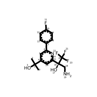 CC(C)(O)c1cc(-c2ccc(F)cc2)nc([C@@](O)(CN)C(F)(F)F)c1